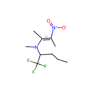 CCCC(N(C)/C(C)=C(\C)[N+](=O)[O-])C(F)(F)F